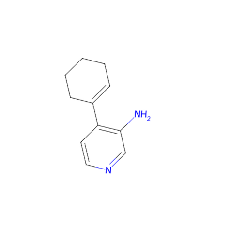 Nc1cnccc1C1=CCCCC1